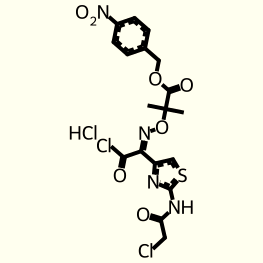 CC(C)(ON=C(C(=O)Cl)c1csc(NC(=O)CCl)n1)C(=O)OCc1ccc([N+](=O)[O-])cc1.Cl